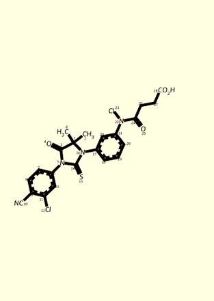 CC1(C)C(=O)N(c2ccc(C#N)c(Cl)c2)C(=S)N1c1cccc(N(Cl)C(=O)CCC(=O)O)c1